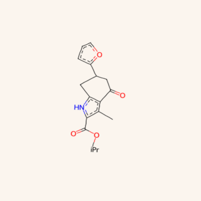 Cc1c(C(=O)OC(C)C)[nH]c2c1C(=O)CC(c1ccco1)C2